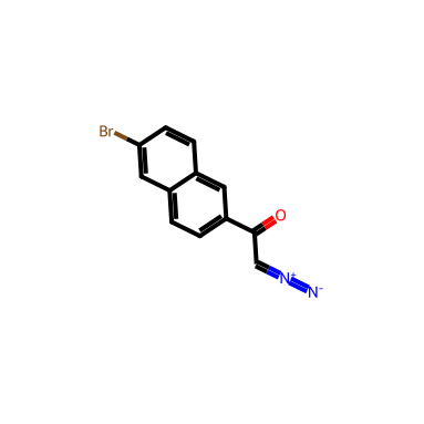 [N-]=[N+]=CC(=O)c1ccc2cc(Br)ccc2c1